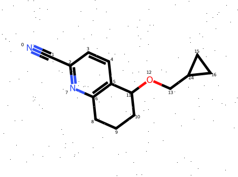 N#Cc1ccc2c(n1)CCCC2OCC1CC1